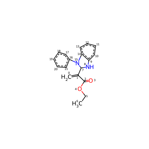 C=C(C(=O)OCC)C1Nc2ccccc2N1c1ccccc1